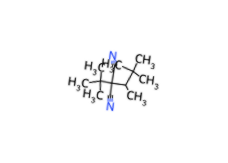 CC(C(C)(C)C)C(C#N)(C#N)C(C)(C)C